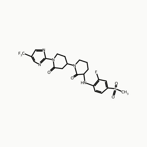 CS(=O)(=O)c1ccc(NC2CCCN(C3CCN(c4ncc(C(F)(F)F)cn4)C(=O)C3)C2=O)c(F)c1